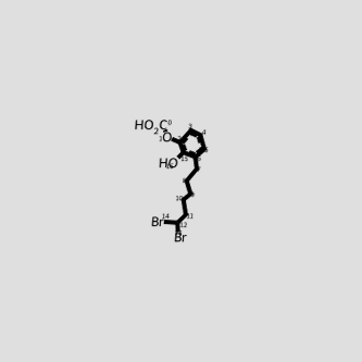 O=C(O)Oc1cccc(CCCCCC(Br)Br)c1O